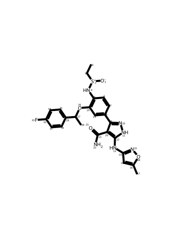 CC[S+]([O-])Nc1ccc(-c2n[nH]c(Nc3cc(C)on3)c2C(N)=O)cc1OC(C)c1ccc(F)cc1